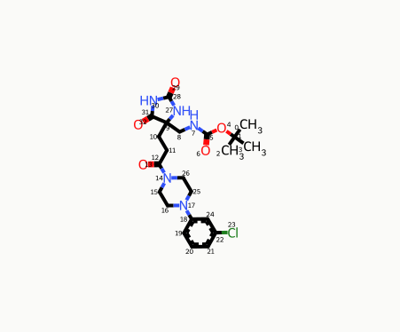 CC(C)(C)OC(=O)NCC1(CCC(=O)N2CCN(c3cccc(Cl)c3)CC2)NC(=O)NC1=O